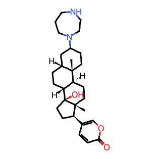 C[C@]12CC[C@H](N3CCCNCC3)C[C@H]1CC[C@@H]1[C@@H]2CC[C@]2(C)[C@@H](c3ccc(=O)oc3)CC[C@]12O